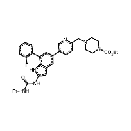 CCNC(=O)Nc1cc2cc(-c3ccc(CN4CCN(C(=O)OCC)CC4)nc3)cc(-c3ncccc3F)c2[nH]1